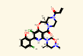 C=CC(=O)N1CCN2C(=O)c3c(N4CON(C)C[C@H]4C)nc(-c4c(O)cccc4F)c(Cl)c3OC[C@H]2C1